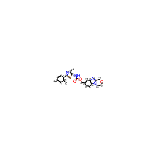 Cc1ccc(-c2nc(C)c(NC(=O)OCc3ccc4c(c3)nc3n4CCOC3)s2)c(C)c1